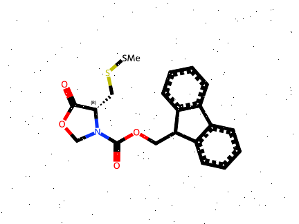 CSSC[C@H]1C(=O)OCN1C(=O)OCC1c2ccccc2-c2ccccc21